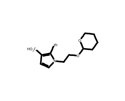 CC(C)c1c(C(=O)O)ccn1CCOC1CCCCO1